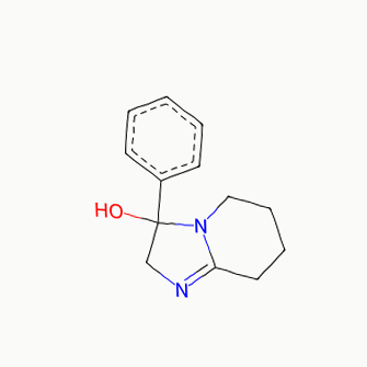 OC1(c2ccccc2)CN=C2CCCCN21